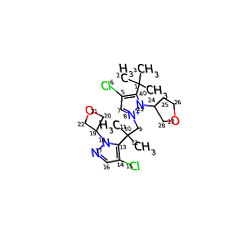 CC(C)(C)c1c(Cl)c[n+](CC(C)(C)c2c(Cl)cnn2C2COC2)n1C1CCOC1